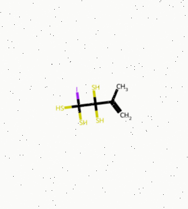 C=C(C)C(S)(S)C(S)(S)I